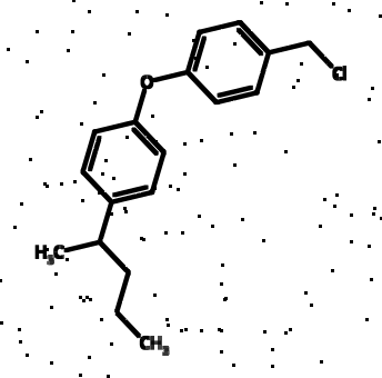 CCCC(C)c1ccc(Oc2ccc(CCl)cc2)cc1